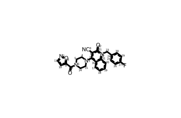 N#Cc1c(N2CCN(C(=O)c3ccno3)CC2)c2ccccc2n(Cc2ccc(F)cc2)c1=O